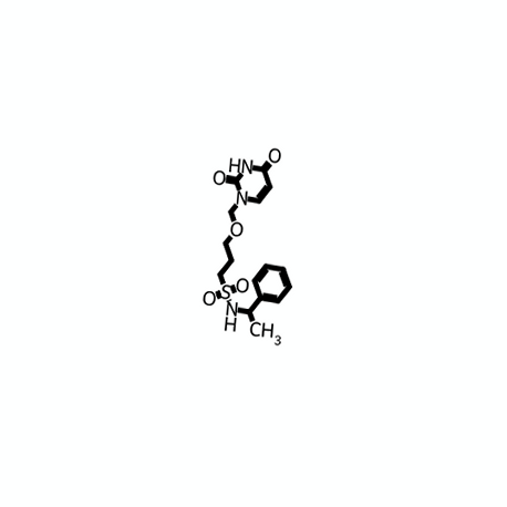 CC(NS(=O)(=O)CCCOCn1ccc(=O)[nH]c1=O)c1ccccc1